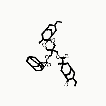 CCC1CC2CC(C)C3(OCC(COC(=O)C4(C)CC5CC(CC)C(=O)C(C5)C4)(COC(=O)C45CC6CC(C4)C(=O)C(C6)C5)CO3)C(C1)C2